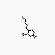 CCCCCC1CCC(=O)CC1Br